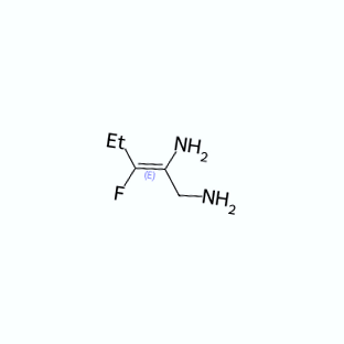 CC/C(F)=C(\N)CN